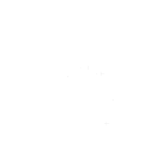 Cc1c(O)ccc(C(C)(C)c2ccccc2)c1C